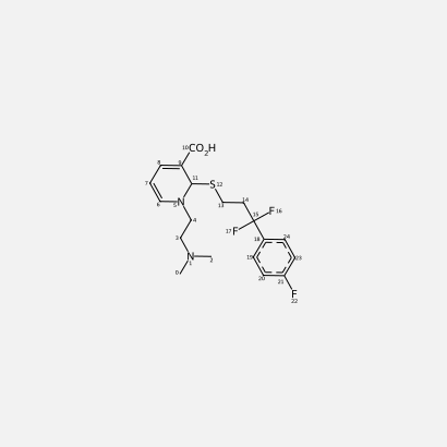 CN(C)CCN1C=CC=C(C(=O)O)C1SCCC(F)(F)c1ccc(F)cc1